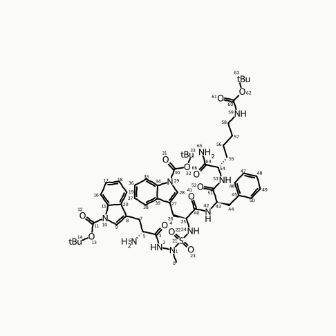 CN(NC(=O)[C@H](N)Cc1cn(C(=O)OC(C)(C)C)c2ccccc12)S(=O)(=O)N[C@@H](Cc1cn(C(=O)OC(C)(C)C)c2ccccc12)C(=O)N[C@H](Cc1ccccc1)C(=O)N[C@@H](CCCCNC(=O)OC(C)(C)C)C(N)=O